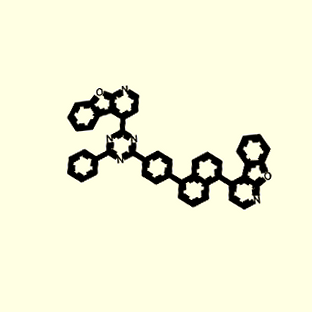 c1ccc(-c2nc(-c3ccc(-c4cccc5c(-c6ccnc7oc8ccccc8c67)cccc45)cc3)nc(-c3ccnc4oc5ccccc5c34)n2)cc1